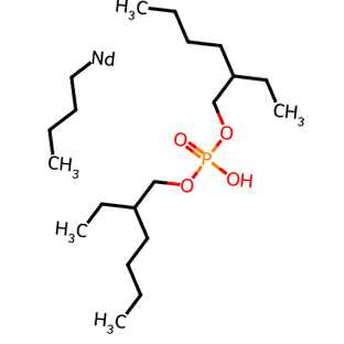 CCCCC(CC)COP(=O)(O)OCC(CC)CCCC.CCC[CH2][Nd]